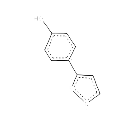 Oc1ccc(-c2ccns2)cc1